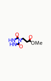 COC(=O)CCn1c(=O)[nH][nH]c1=O